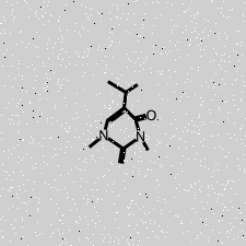 C=C1N(C)C=C(C(C)C)C(=O)N1C